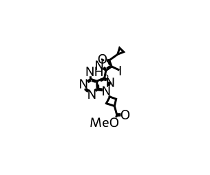 COC(=O)C1CC(n2nc(-c3noc(C4CC4)c3I)c3c(N)ncnc32)C1